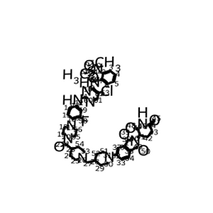 CN(c1ccccc1Nc1nc(Nc2ccc(N3CCN(C(=O)C4CCN(CC5CCN(c6ccc7c(c6)C(=O)N(C6CCC(=O)NC6=O)C7=O)CC5)CC4)CC3)c(F)c2)ncc1Cl)S(C)(=O)=O